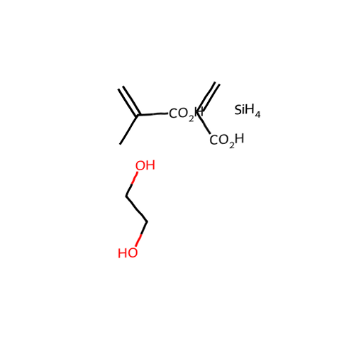 C=C(C)C(=O)O.C=CC(=O)O.OCCO.[SiH4]